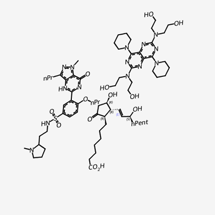 CCCCC[C@H](O)/C=C/[C@H]1[C@H](O)CC(=O)[C@@H]1CCCCCCC(=O)O.CCCOc1ccc(S(=O)(=O)NCCC2CCCN2C)cc1-c1nc(=O)c2c([nH]1)c(CCC)nn2C.OCCN(CCO)c1nc(N2CCCCC2)c2nc(N(CCO)CCO)nc(N3CCCCC3)c2n1